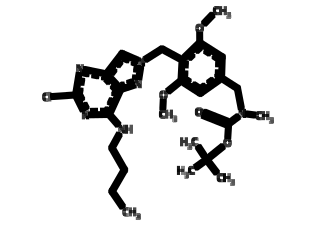 CCCCNc1nc(Cl)nc2cn(Cc3c(OC)cc(CN(C)C(=O)OC(C)(C)C)cc3OC)nc12